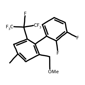 COCc1[c]c(C)cc(C(F)(C(F)(F)F)C(F)(F)F)c1-c1cccc(F)c1F